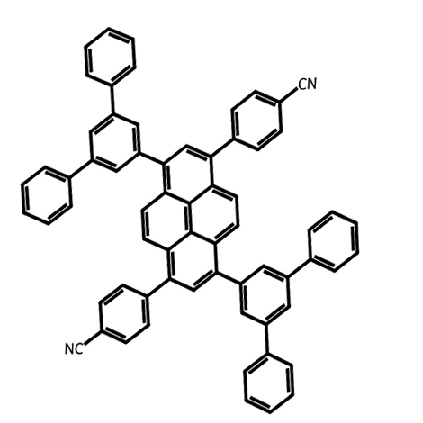 N#Cc1ccc(-c2cc(-c3cc(-c4ccccc4)cc(-c4ccccc4)c3)c3ccc4c(-c5ccc(C#N)cc5)cc(-c5cc(-c6ccccc6)cc(-c6ccccc6)c5)c5ccc2c3c45)cc1